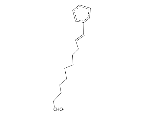 O=[C]CCCCCCCCC=Cc1ccccc1